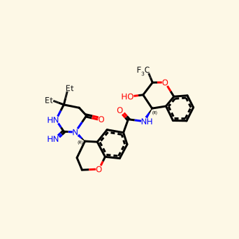 CCC1(CC)CC(=O)N([C@@H]2CCOc3ccc(C(=O)N[C@@H]4c5ccccc5OC(C(F)(F)F)C4O)cc32)C(=N)N1